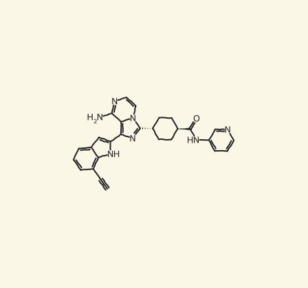 C#Cc1cccc2cc(-c3nc([C@H]4CC[C@H](C(=O)Nc5cccnc5)CC4)n4ccnc(N)c34)[nH]c12